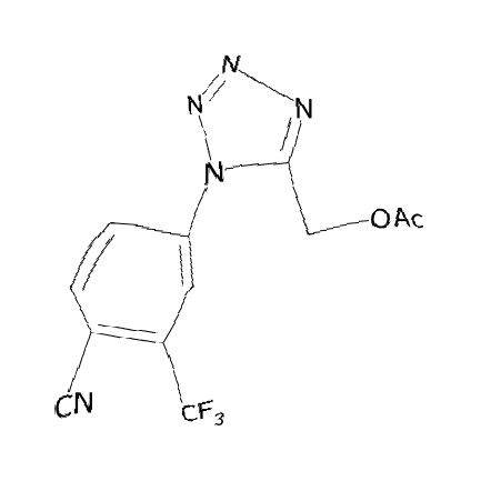 CC(=O)OCc1nnnn1-c1ccc(C#N)c(C(F)(F)F)c1